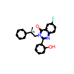 C[C@@H](Cn1c(-c2ccccc2O)nc2ccc(F)cc2c1=O)c1ccccc1